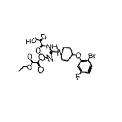 CCOC(=O)C(=O)ON=C(NC(=O)C(=O)O)N1CCC(Oc2cc(F)ccc2Br)CC1